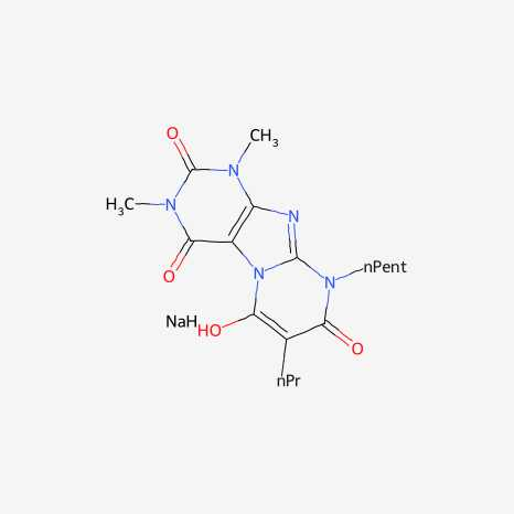 CCCCCn1c(=O)c(CCC)c(O)n2c3c(=O)n(C)c(=O)n(C)c3nc12.[NaH]